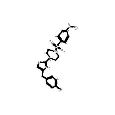 CCc1ccc(Cc2csc(N3CCN(S(=O)(=O)c4ccc(OC(F)(F)F)cc4)CC3)n2)cc1